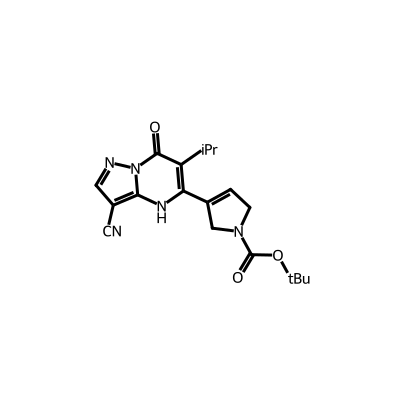 CC(C)c1c(C2=CCN(C(=O)OC(C)(C)C)C2)[nH]c2c(C#N)cnn2c1=O